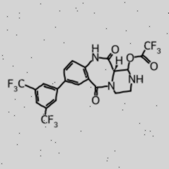 O=C1Nc2ccc(-c3cc(C(F)(F)F)cc(C(F)(F)F)c3)cc2C(=O)N2CCNC(OC(=O)C(F)(F)F)[C@@H]12